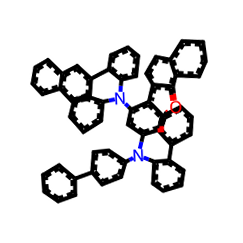 c1ccc(-c2ccc(N(c3cc(N(c4ccccc4)c4ccccc4-c4ccc5ccccc5c4)c4c(c3)oc3c5ccccc5ccc34)c3ccccc3-c3ccccc3)cc2)cc1